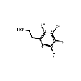 Cc1c(F)cc(CCO)c(F)c1F